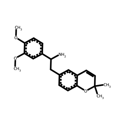 COc1ccc(C(N)Cc2ccc3c(c2)C=CC(C)(C)O3)cc1OC